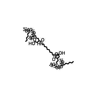 CCCCCC[Si](C)(O[Si](C)(C)C)O[Si](C)(C)O[Si](C)(CCCC(CC(=O)O)C(=O)NCCCCCCCCNC(=O)C(CCC[Si](C)(O[Si](C)(C)C)O[Si](C)(C)O[Si](C)(CCCCCC)O[Si](C)(C)C)CC(=O)O)O[Si](C)(C)C